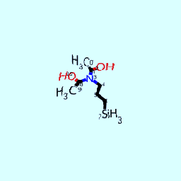 CC(O)N(CCC[SiH3])C(C)O